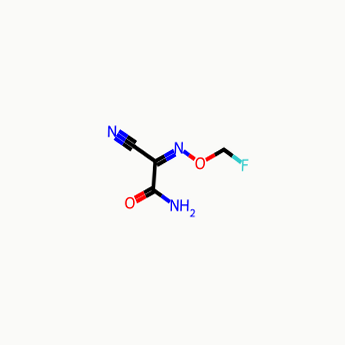 N#CC(=NOCF)C(N)=O